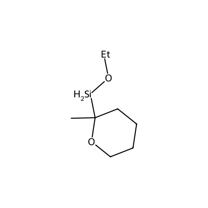 CCO[SiH2]C1(C)CCCCO1